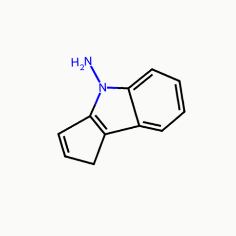 Nn1c2c(c3ccccc31)CC=C2